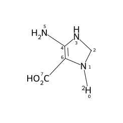 [2H]N1CNC(N)=C1C(=O)O